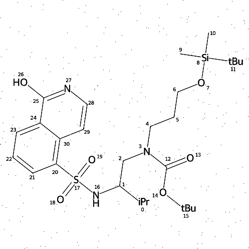 CC(C)C(CN(CCCO[Si](C)(C)C(C)(C)C)C(=O)OC(C)(C)C)NS(=O)(=O)c1cccc2c(O)nccc12